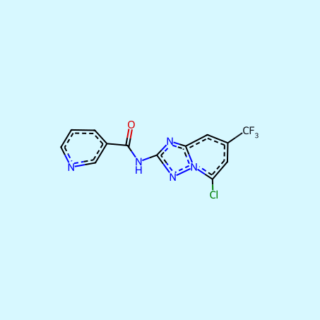 O=C(Nc1nc2cc(C(F)(F)F)cc(Cl)n2n1)c1cccnc1